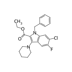 CCOC(=O)c1c(N2CCCCC2)c2cc(F)c(Cl)cc2n1Cc1ccccc1